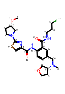 CO[C@H]1CCN(c2nc(C(=O)Nc3ccc(CN(C)[C@@H]4CCOC4)cc3C(=O)NCCCF)cs2)C1